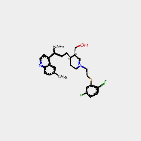 CNC(CC[C@@H]1CCN(CCSc2cc(F)ccc2F)C[C@@H]1CO)c1ccnc2ccc(OC)cc12